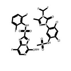 COc1ncc(F)c2nc(S(=O)(=O)Nc3c(F)cccc3F)nn12.Cc1nn(-c2cc(NS(C)(=O)=O)c(Cl)cc2Cl)c(=O)n1C(F)F